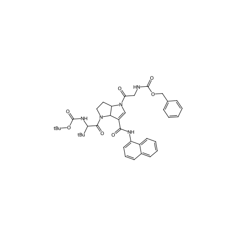 CC(C)(C)OC(=O)NC(C(=O)N1CCC2C1C(C(=O)Nc1cccc3ccccc13)=CN2C(=O)CNC(=O)OCc1ccccc1)C(C)(C)C